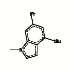 CC(C)c1cc(C(C)(C)C)c2ccn(C)c2c1